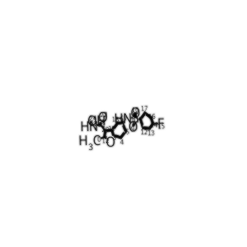 Cc1oc2ccc(NS(=O)(=O)c3ccc(F)cc3)cc2c1C(=O)NO